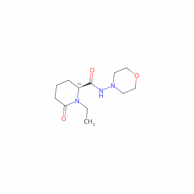 CCN1C(=O)CCC[C@H]1C(=O)NN1CCOCC1